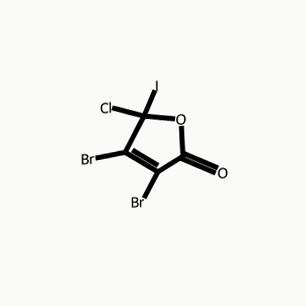 O=C1OC(Cl)(I)C(Br)=C1Br